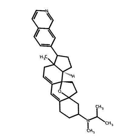 CC(C)N(C)C1CCC2=CC3=CCC4(C)C(c5ccc6ccncc6c5)CC[C@H]4[C@@]34CCC2(C1)O4